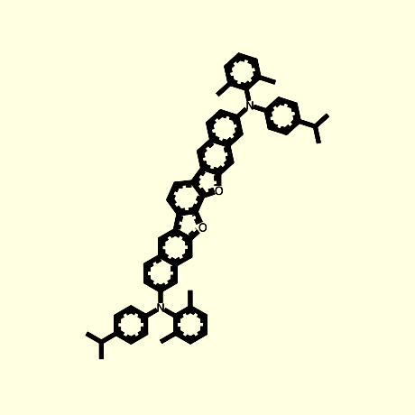 Cc1cccc(C)c1N(c1ccc(C(C)C)cc1)c1ccc2cc3c(cc2c1)oc1c3ccc2c3cc4ccc(N(c5ccc(C(C)C)cc5)c5c(C)cccc5C)cc4cc3oc21